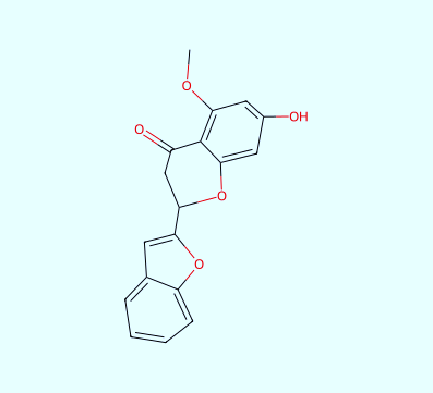 COc1cc(O)cc2c1C(=O)CC(c1cc3ccccc3o1)O2